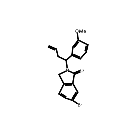 C=CCC(c1cccc(OC)c1)N1Cc2ccc(Br)cc2C1=O